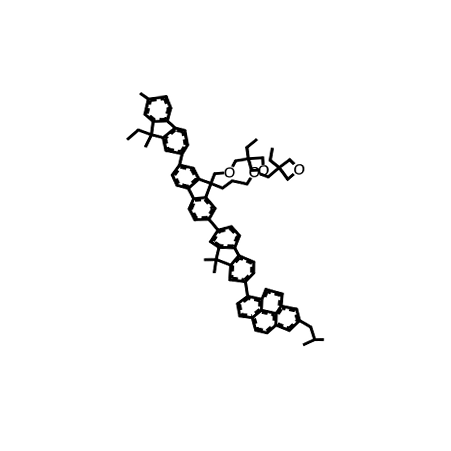 CCC1(COCCCC2(COCC3(CC)COC3)c3cc(-c4ccc5c(c4)C(C)(C)c4cc(-c6ccc7ccc8cc(CC(C)C)cc9ccc6c7c89)ccc4-5)ccc3-c3ccc(-c4ccc5c(c4)C(C)(CC)c4cc(C)ccc4-5)cc32)COC1